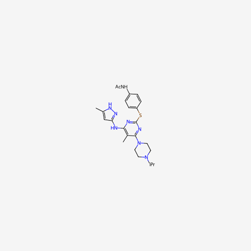 CC(=O)Nc1ccc(Sc2nc(Nc3cc(C)[nH]n3)c(C)c(N3CCN(C(C)C)CC3)n2)cc1